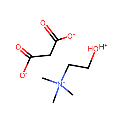 C[N+](C)(C)CCO.O=C([O-])CC(=O)[O-].[H+]